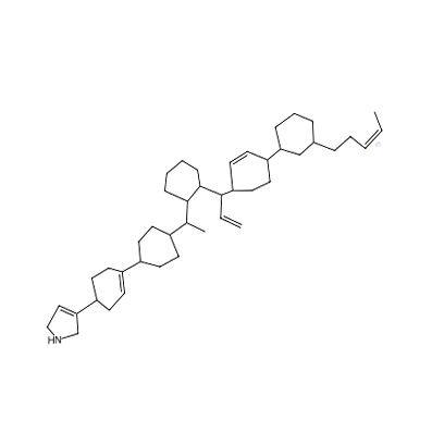 C=CC(C1C=CC(C2CCCC(CC/C=C\C)C2)CC1)C1CCCCC1C(C)C1CCC(C2=CCC(C3=CCNC3)CC2)CC1